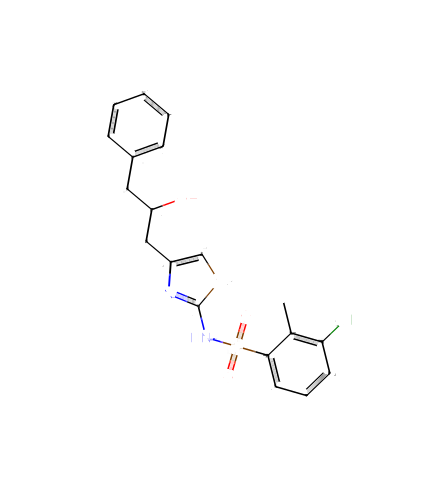 Cc1c(Cl)cccc1S(=O)(=O)Nc1nc(CC(O)Cc2ccccc2)cs1